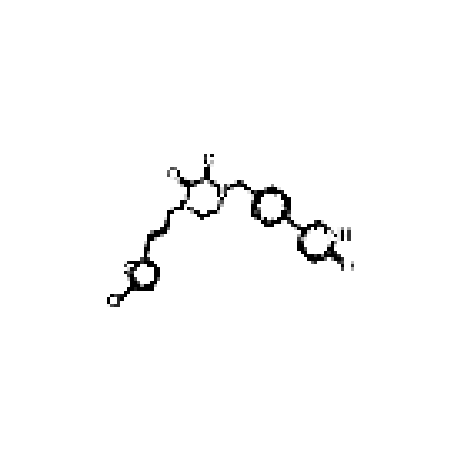 O=C1C(=O)N(Cc2ccc(-c3ccc(=O)[nH]c3)cc2)CCN1CC=Cc1ccc(Cl)s1